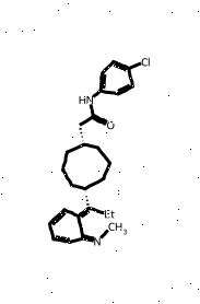 CC/C(=C1/C=CC=C/C1=N/C)[C@H]1CCC[C@@H](CC(=O)Nc2ccc(Cl)cc2)CCC1